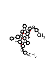 C=Cc1ccc(Oc2ccc(C3(c4c(F)cc(F)cc4F)c4ccccc4-c4ccc(N(c5ccc(-c6ccccc6)cc5)c5ccc6c(c5)C(c5ccc(Oc7ccc(C=C)cc7)cc5)(c5c(F)cc(F)cc5F)c5ccccc5-6)cc43)cc2)cc1